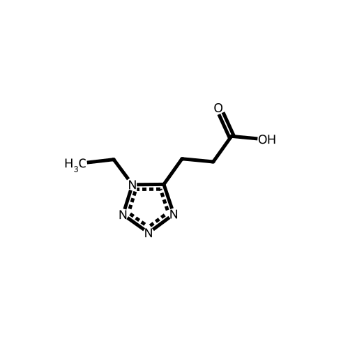 CCn1nnnc1CCC(=O)O